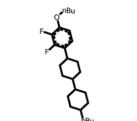 CCCCOc1ccc(C2CCC(C3CCC(CCCC)CC3)CC2)c(F)c1F